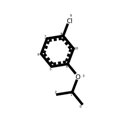 CC(C)Oc1cc[c]c(Cl)c1